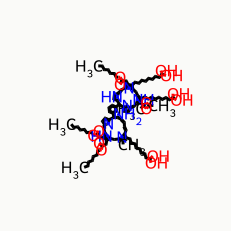 CCCCCCCOC(=O)CC1=C(CCCCCCCCC(O)O)C2Cc3[nH]c(c(C4(C)OC(C)O4)c3CCCCCCCCC(O)O)/C=C3/C=CC(=N3)C(c3cccc(C4C5=N/C(=C\c6[nH]c(c(CC(=O)OCCCCCCC)c6CC(=O)OCCCCCCC)CC6N=C(/C=C/C=C\C4N)C(CCCCCCCCC(O)O)=C6C)C=C5)c3)C3C=C/C(=C/C1=N2)N3